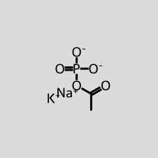 CC(=O)OP(=O)([O-])[O-].[K+].[Na+]